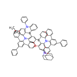 CC(C)c1cc2c3c(c1)N(c1c(-c4ccccc4)cc(-c4ccccc4)cc1-c1ccccc1)c1cc4c(cc1B3c1ccccc1N2c1ccccc1)B1c2ccccc2N(c2c(-c3ccccc3)cc(-c3ccccc3)cc2-c2ccccc2)c2cc(N3C5CC6CC(C5)CC3C6)cc(c21)O4